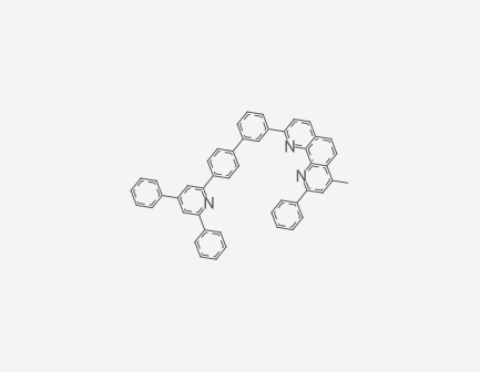 Cc1cc(-c2ccccc2)nc2c1ccc1ccc(-c3cccc(-c4ccc(-c5cc(-c6ccccc6)cc(-c6ccccc6)n5)cc4)c3)nc12